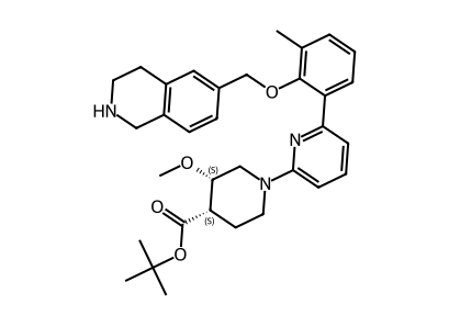 CO[C@@H]1CN(c2cccc(-c3cccc(C)c3OCc3ccc4c(c3)CCNC4)n2)CC[C@@H]1C(=O)OC(C)(C)C